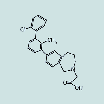 Cc1c(-c2ccc3c(c2)CCCN(CC(=O)O)C3)cccc1-c1ccccc1Cl